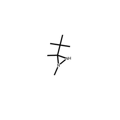 CN1NC1(C)C(C)(C)C